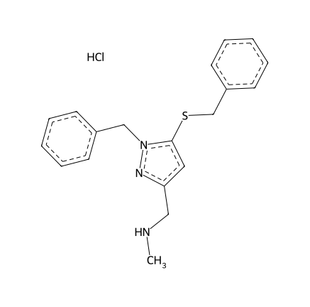 CNCc1cc(SCc2ccccc2)n(Cc2ccccc2)n1.Cl